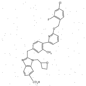 Cc1cc(Cc2nc3ccc(C(=O)O)cc3n2CC2CCO2)ccc1-c1cccc(OCc2ccc(Cl)cc2F)n1